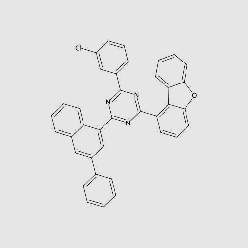 Clc1cccc(-c2nc(-c3cc(-c4ccccc4)cc4ccccc34)nc(-c3cccc4oc5ccccc5c34)n2)c1